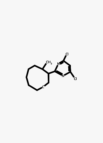 CC1CCCCCCCC1c1nc(Cl)cc(Cl)n1